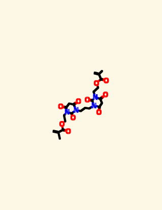 C=C(C)C(=O)OCCN1C(=O)CC(=O)N(CCCN2C(=O)CC(=O)N(CCOC(=O)C(=C)C)C2=O)C1=O